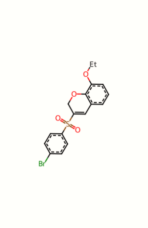 CCOc1cccc2c1OCC(S(=O)(=O)c1ccc(Br)cc1)=C2